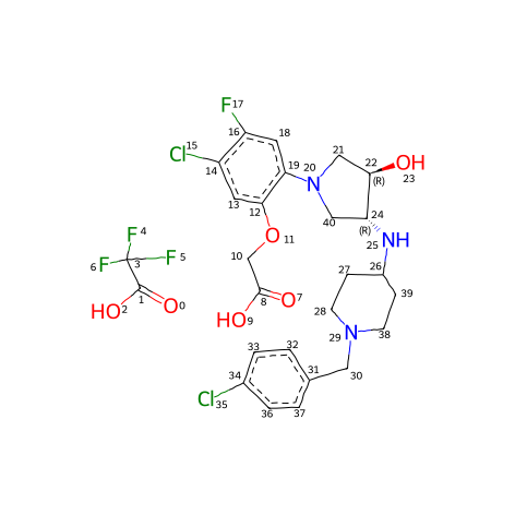 O=C(O)C(F)(F)F.O=C(O)COc1cc(Cl)c(F)cc1N1C[C@@H](O)[C@H](NC2CCN(Cc3ccc(Cl)cc3)CC2)C1